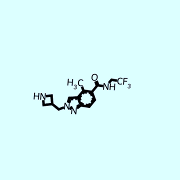 Cc1c(C(=O)NCC(F)(F)F)ccc2nn(CC3CNC3)cc12